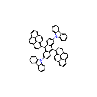 C1=Cc2c(c3ccccc3n2-c2ccc3c(C4=c5ccc6cccc7ccc(c5c76)CC4)c4cc(-n5c6ccccc6c6ccccc65)ccc4c(-c4ccc5ccc6cccc7ccc4c5c67)c3c2)CC1